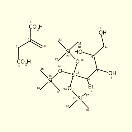 C=C(CC(=O)O)C(=O)O.CCC(C(O)C(O)CO)[Si](O[Si](C)(C)C)(O[Si](C)(C)C)O[Si](C)(C)C